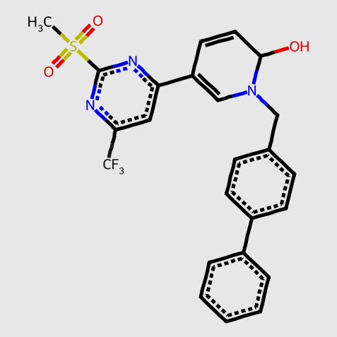 CS(=O)(=O)c1nc(C2=CN(Cc3ccc(-c4ccccc4)cc3)C(O)C=C2)cc(C(F)(F)F)n1